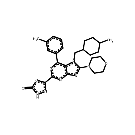 Cc1cccc(-c2nc(-c3n[nH]c(=O)o3)nc3nc(N4CCOCC4)n(CC4CCC(C)CC4)c23)c1